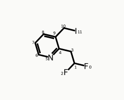 FC(F)Cc1ncccc1CI